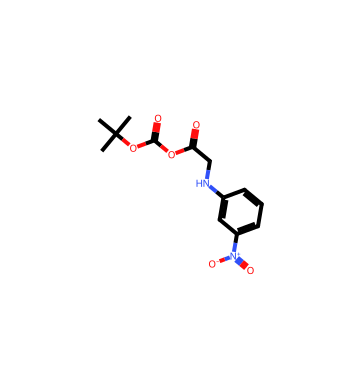 CC(C)(C)OC(=O)OC(=O)CNc1cccc([N+](=O)[O-])c1